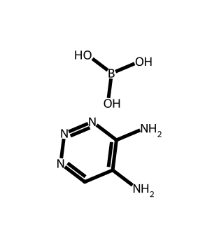 Nc1cnnnc1N.OB(O)O